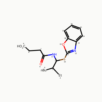 CCCCC(CC)C(NC(=O)CCC(=O)O)Sc1nc2ccccc2o1